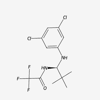 CC(C)(C)[C@@H](NC(=O)C(F)(F)F)Nc1cc(Cl)cc(Cl)c1